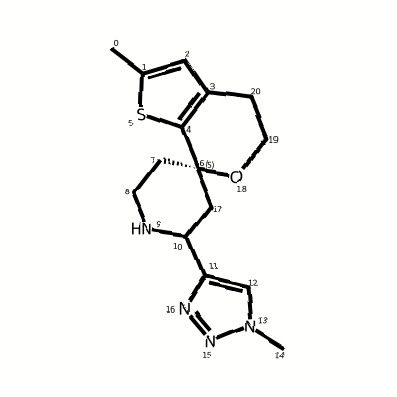 Cc1cc2c(s1)[C@@]1(CCNC(c3cn(C)nn3)C1)OCC2